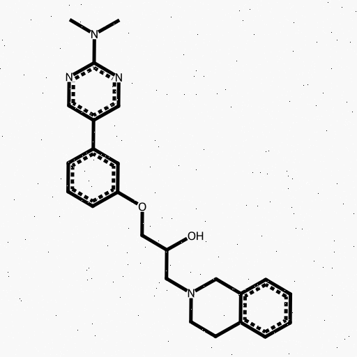 CN(C)c1ncc(-c2cccc(OCC(O)CN3CCc4ccccc4C3)c2)cn1